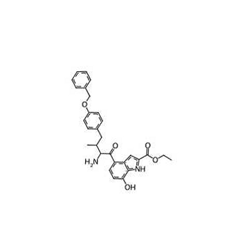 CCOC(=O)c1cc2c(C(=O)C(N)C(C)Cc3ccc(OCc4ccccc4)cc3)ccc(O)c2[nH]1